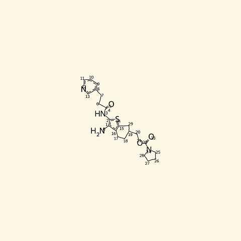 Nc1c(NC(=O)CCc2cccnc2)sc2c1CCC(COC(=O)N1CCCC1)C2